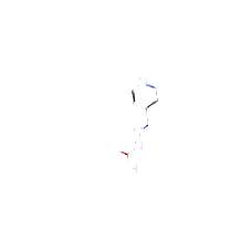 O.O=C(O)N/N=C/c1ccncc1